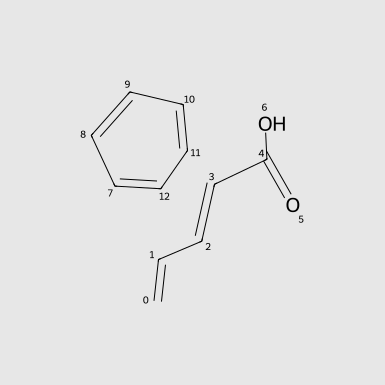 C=CC=CC(=O)O.c1ccccc1